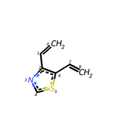 C=Cc1ncsc1C=C